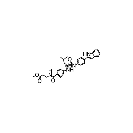 COC(=O)CCNC(=O)c1ccc(N[C@@H](CC(C)C)C(=O)Nc2ccc(-c3cc4ccccc4[nH]3)cc2)cc1